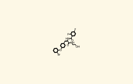 O=C(NCCO)/C(=C\c1ccc(Oc2ccccc2Br)cc1)NC(=O)c1ccc(F)cc1F